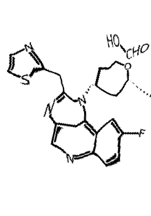 C[C@@H]1C[C@H](n2c(Cc3nccs3)nc3cnc4ccc(F)cc4c32)CCO1.O=CO